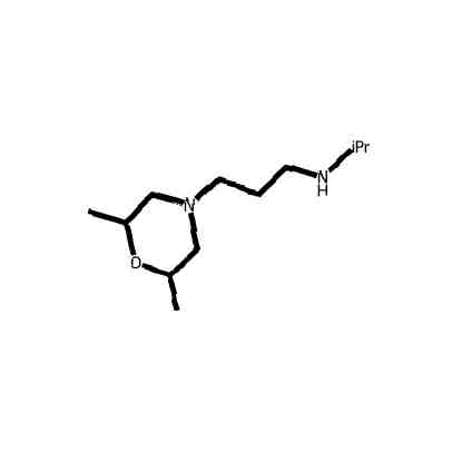 CC(C)NCCCN1CC(C)OC(C)C1